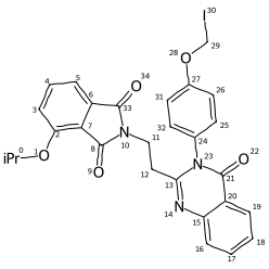 CC(C)Oc1cccc2c1C(=O)N(CCc1nc3ccccc3c(=O)n1-c1ccc(OCI)cc1)C2=O